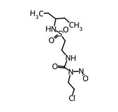 CCC(CC)NS(=O)(=O)CCNC(=O)N(CCCl)N=O